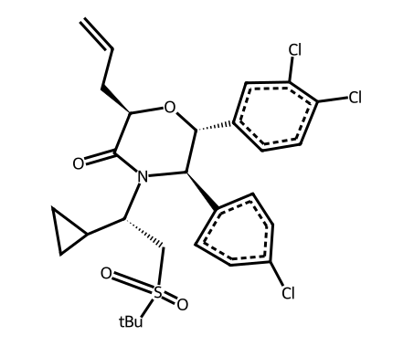 C=CC[C@H]1O[C@H](c2ccc(Cl)c(Cl)c2)[C@@H](c2ccc(Cl)cc2)N([C@H](CS(=O)(=O)C(C)(C)C)C2CC2)C1=O